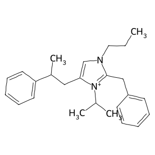 CCCn1cc(CC(C)c2ccccc2)[n+](C(C)C)c1Cc1ccccc1